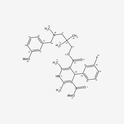 COC(=O)C1=C(C)NC(C)=C(C(=O)OCC(C)(C)CN(C)Cc2cccc(OC)c2)C1c1cccc(F)c1